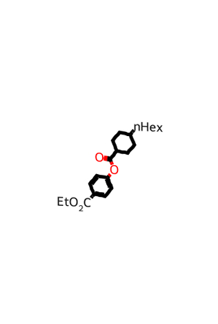 CCCCCCC1CCC(C(=O)Oc2ccc(C(=O)OCC)cc2)CC1